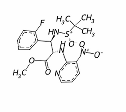 COC(=O)[C@@H](Nc1ncccc1[N+](=O)[O-])[C@H](N[S@@+]([O-])C(C)(C)C)c1ccccc1F